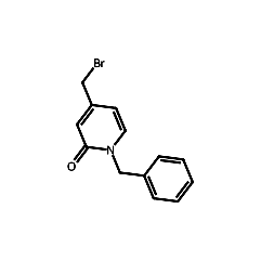 O=c1cc(CBr)ccn1Cc1ccccc1